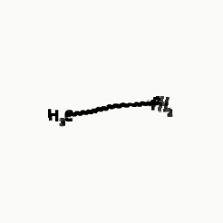 CCCCCCCCCCCCCCCCCCCCCCCCCCCCC=CP